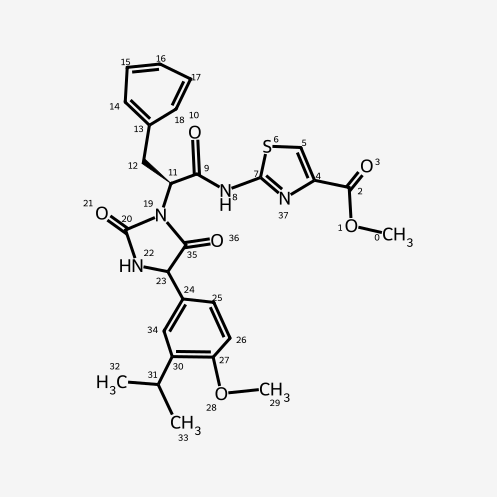 COC(=O)c1csc(NC(=O)[C@H](Cc2ccccc2)N2C(=O)NC(c3ccc(OC)c(C(C)C)c3)C2=O)n1